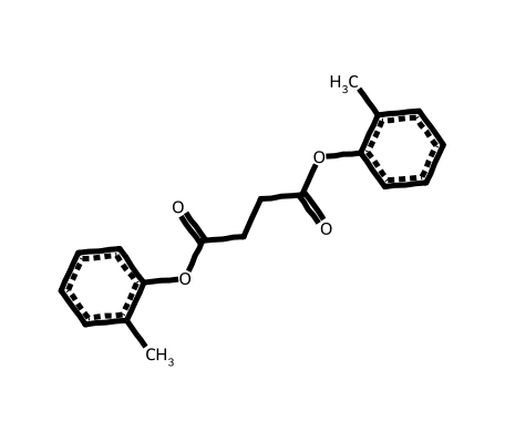 Cc1ccccc1OC(=O)CCC(=O)Oc1ccccc1C